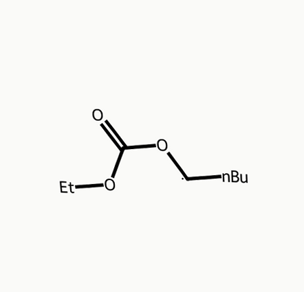 CCCC[CH]OC(=O)OCC